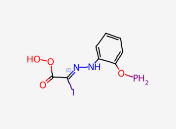 O=C(OO)/C(I)=N/Nc1ccccc1OP